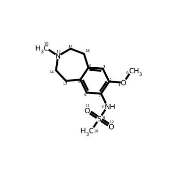 COc1cc2c(cc1NS(C)(=O)=O)CCN(C)CC2